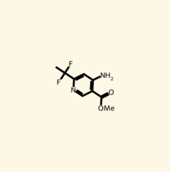 COC(=O)c1cnc(C(C)(F)F)cc1N